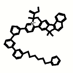 C=C(CC)C1(C)Cc2cc3c(cc2-c2ccc(-c4cccc(-c5cccc(-c6cccc(CCCCCCc7ccccc7)c6)c5)c4)c[n+]21)C(C)(C)c1ccc2ccccc2c1-3